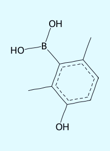 Cc1ccc(O)c(C)c1B(O)O